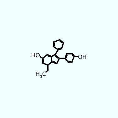 CCC1C=C(O)C=C2C1=CC(c1ccc(O)cc1)=C2c1ccccc1